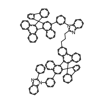 c1ccc(-c2nc3ccccc3n2-c2cccc(-c3cc4c(c5ccccc35)-c3c(c5ccccc5c5cc(CCCc6nc7ccccc7n6-c6cccc(-c7cc8c(c9ccccc79)-c7c(c9ccccc9c9ccccc79)C87c8ccccc8-c8ccccc87)c6)ccc35)C43c4ccccc4-c4ccccc43)c2)cc1